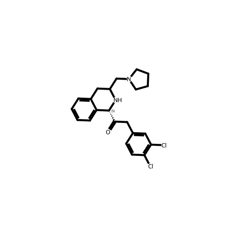 O=C(Cc1ccc(Cl)c(Cl)c1)[C@H]1NC(CN2CCCC2)Cc2ccccc21